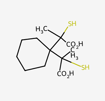 CC(S)(C(=O)O)C1(C(C)(S)C(=O)O)CCCCC1